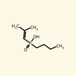 CCCCP(=O)(O)C=C(C)C